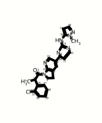 CC(C(=O)N1CCc2cc(-c3ccnc(Nc4ccnn4C)n3)cnc21)c1ccccc1Cl